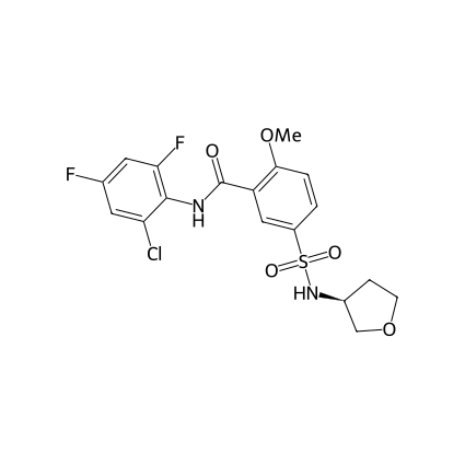 COc1ccc(S(=O)(=O)N[C@H]2CCOC2)cc1C(=O)Nc1c(F)cc(F)cc1Cl